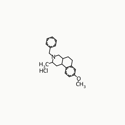 COc1ccc2c(c1)CCC1CN(Cc3ccccc3)C(C)CC21.Cl